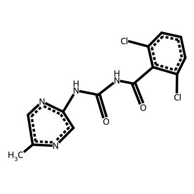 Cc1cnc(NC(=O)NC(=O)c2c(Cl)cccc2Cl)cn1